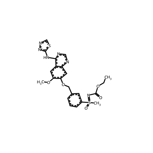 CCOC(=O)N=S(C)(=O)c1cccc(COc2cc3ncnc(Nc4nncs4)c3cc2OC)c1